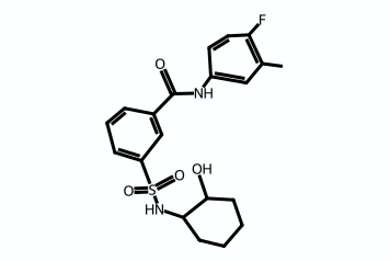 Cc1cc(NC(=O)c2cccc(S(=O)(=O)NC3CCCCC3O)c2)ccc1F